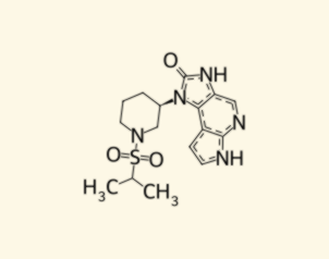 CC(C)S(=O)(=O)N1CCC[C@@H](n2c(=O)[nH]c3cnc4[nH]ccc4c32)C1